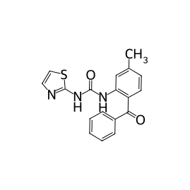 Cc1ccc(C(=O)c2ccccc2)c(NC(=O)Nc2nccs2)c1